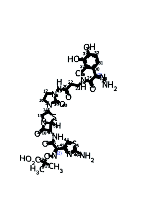 CC(C)(O/N=C(\C(=O)N[C@@H]1C(=O)N2C[C@H](N3CCN(NC(=O)CCNC(=O)/C(=N\N)c4ccc(O)c(O)c4Cl)C3=O)S[C@H]12)c1csc(N)n1)C(=O)O